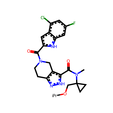 CC(C)OCC1(N(C)C(=O)c2[nH]nc3c2CN(C(=O)c2cc4c(Cl)cc(F)cc4[nH]2)CC3)CC1